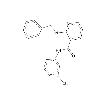 O=C(Nc1cccc(C(F)(F)F)c1)c1cccnc1NCc1ccccc1